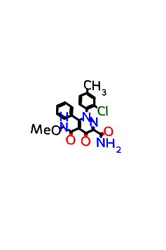 CONC(=O)c1c(-c2ccccc2)n(-c2ccc(C)cc2Cl)nc(C(N)=O)c1=O